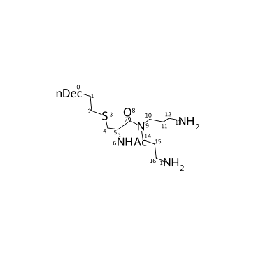 CCCCCCCCCCCCSC[C@@H](NC(C)=O)C(=O)N(CCCN)CCCN